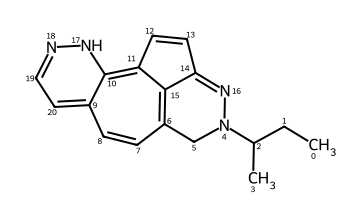 CCC(C)N1Cc2ccc3c(c4ccc(c2-4)=N1)NN=CC=3